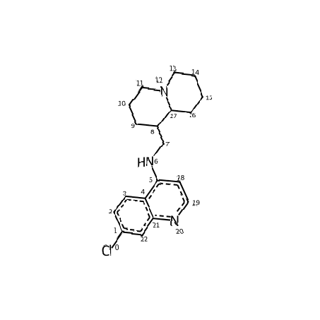 Clc1ccc2c(NCC3CCCN4CCCCC34)ccnc2c1